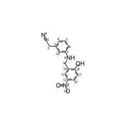 N#CCc1cccc(NCc2cc([N+](=O)[O-])ccc2O)c1